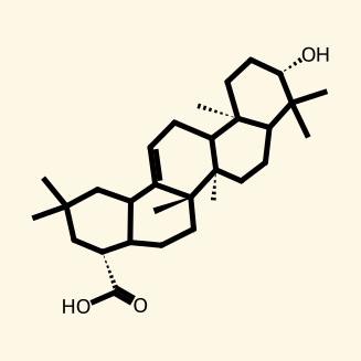 CC1(C)CC2C3=CCC4[C@@]5(C)CC[C@H](O)C(C)(C)C5CC[C@@]4(C)[C@]3(C)CCC2[C@H](C(=O)O)C1